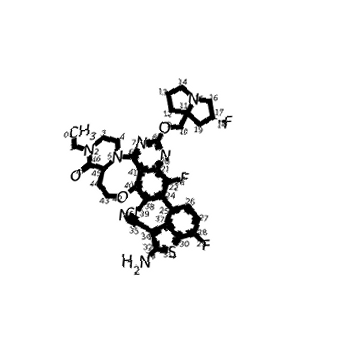 CCN1CCN2c3nc(OCC45CCCN4C[C@H](F)C5)nc4c(F)c(-c5ccc(F)c6sc(N)c(C#N)c56)c(Cl)c(c34)OCCC2C1=O